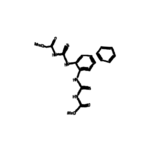 COC(=O)NC(=S)Nc1ccccc1NC(=S)NC(=O)OC.c1ccccc1